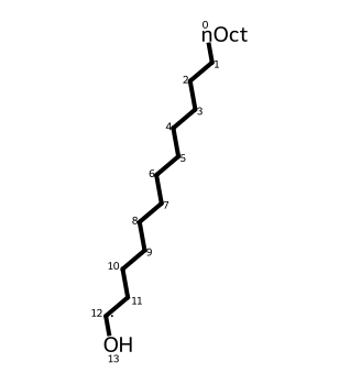 CCCCCCCCCCCCCCCCCCC[CH]O